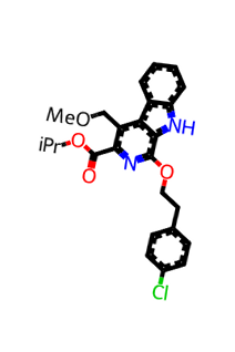 COCc1c(C(=O)OC(C)C)nc(OCCc2ccc(Cl)cc2)c2[nH]c3ccccc3c12